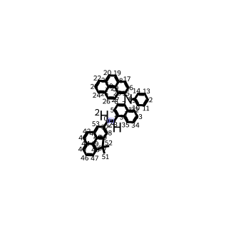 [2H]/C(=C(/[2H])c1ccc(N(c2ccccc2)c2ccc3ccc4cccc5ccc2c3c45)c2ccccc12)c1cc2c3c(ccc4cccc(c43)C2(C)C)c1